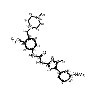 CNc1nccc(-c2sc(NC(=O)Nc3ccc(CN4CCN(C)CC4)c(C(F)(F)F)c3)nc2C)n1